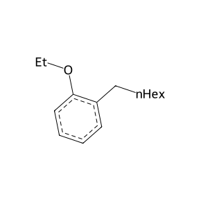 CCCCCCCc1ccccc1OCC